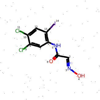 O=C(/C=N/O)Nc1cc(Cl)c(Cl)cc1I